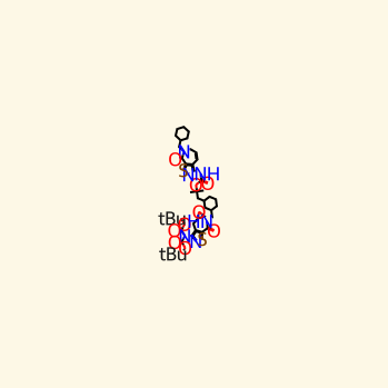 CC(C)(C)OC(=O)N(C(=O)OC(C)(C)C)c1nsc(C(=O)NCC2CCCC(CC(C)(C)OC(=O)Nc3nsc4c3C=CCN(CC3CCCCC3)C4=O)C2)c1CC1CO1